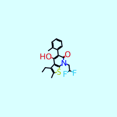 CCc1c(C)sc2c1c(O)c(-c1ccccc1C)c(=O)n2CC(F)F